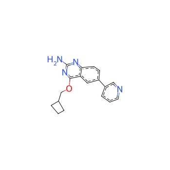 Nc1nc(OCC2CCC2)c2cc(-c3cccnc3)ccc2n1